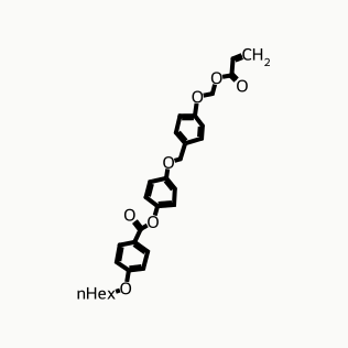 C=CC(=O)OCOc1ccc(COc2ccc(OC(=O)c3ccc(OCCCCCC)cc3)cc2)cc1